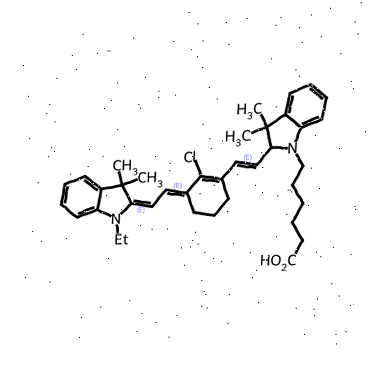 CCN1/C(=C/C=C2\CCCC(/C=C/C3N(CCCCCC(=O)O)c4ccccc4C3(C)C)=C2Cl)C(C)(C)c2ccccc21